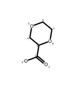 [O]C(=O)C1COCCO1